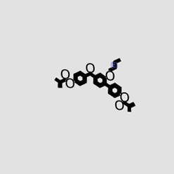 C=C(C)C(=O)Oc1ccc(C(=O)c2ccc(-c3ccc(OC(=O)C(=C)C)cc3)c(OC/C=C/C)c2)cc1